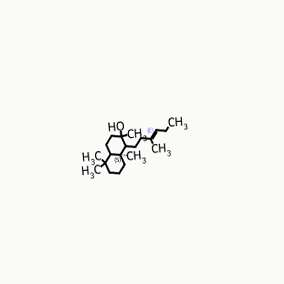 CC/C=C(\C)CCC1C(C)(O)CCC2C(C)(C)CCC[C@@]21C